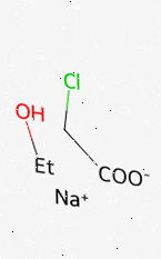 CCO.O=C([O-])CCl.[Na+]